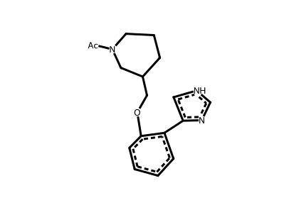 CC(=O)N1CCCC(COc2ccccc2-c2c[nH]cn2)C1